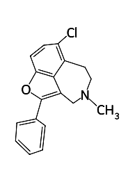 CN1CCc2c(Cl)ccc3oc(-c4ccccc4)c(c23)C1